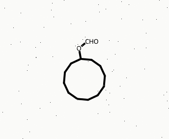 O=COC1CCCCCCCCCCC1